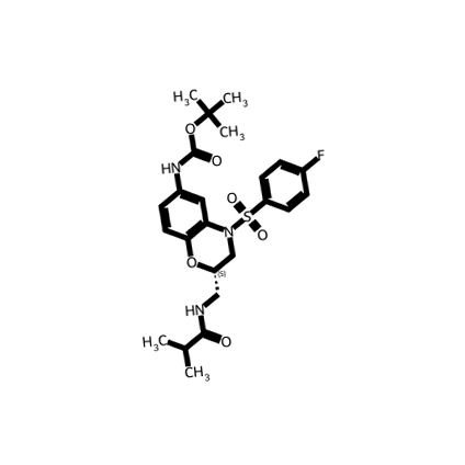 CC(C)C(=O)NC[C@H]1CN(S(=O)(=O)c2ccc(F)cc2)c2cc(NC(=O)OC(C)(C)C)ccc2O1